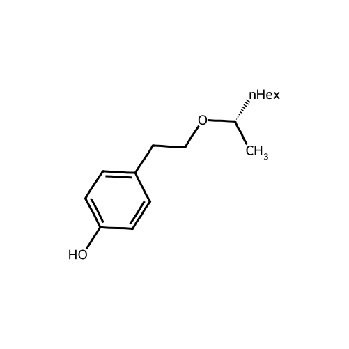 CCCCCC[C@H](C)OCCc1ccc(O)cc1